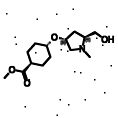 COC(=O)[C@H]1CC[C@H](O[C@@H]2C[C@@H](CO)N(C)C2)CC1